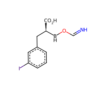 N=COB[C@@H](Cc1cccc(I)c1)C(=O)O